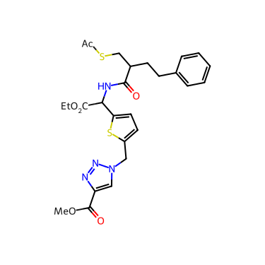 CCOC(=O)C(NC(=O)C(CCc1ccccc1)CSC(C)=O)c1ccc(Cn2cc(C(=O)OC)nn2)s1